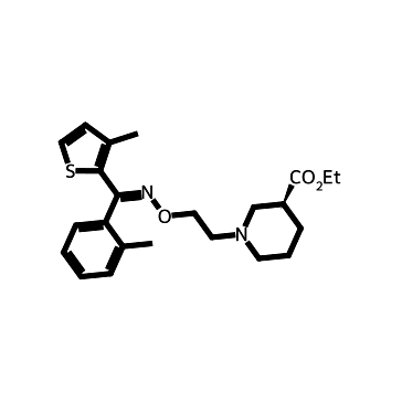 CCOC(=O)[C@H]1CCCN(CCO/N=C(\c2ccccc2C)c2sccc2C)C1